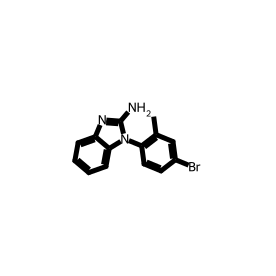 Cc1cc(Br)ccc1-n1c(N)nc2ccccc21